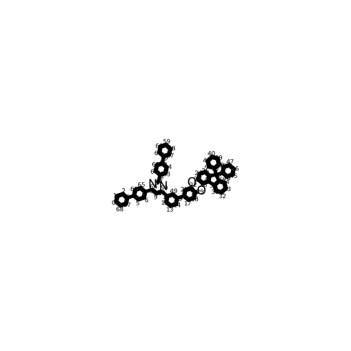 c1ccc(-c2ccc(-c3cc(-c4cccc(-c5ccc6c(c5)Oc5ccc7c(c5O6)-c5ccccc5C7(c5ccccc5)c5ccccc5)c4)nc(-c4ccc(-c5ccccc5)cc4)n3)cc2)cc1